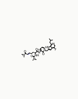 CC(C)Cc1ncc(F)c2cc(Cn3cccc(NC(=O)[C@H](CC/C=C/C(=O)N(C)C)NC(=O)N(C)C)c3=O)[nH]c12